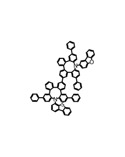 c1ccc(-c2ccc3c(c2)c2ccccc2c2ccc(-c4ccc5c(c4)c4ccccc4c4cc(-c6ccccc6)ccc4n(-c4cccc6c4sc4ccccc46)c4ccc(-c6ccccc6)cc54)cc2c2cc(-c4ccccc4)ccc2n3-c2ccc3oc4ccccc4c3c2)cc1